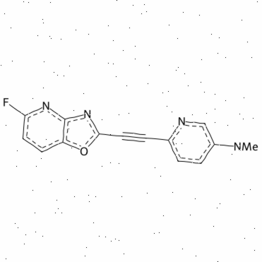 CNc1ccc(C#Cc2nc3nc(F)ccc3o2)nc1